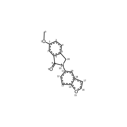 COc1ccc2c(c1)C(=O)N(c1ccc3occc3c1)C2